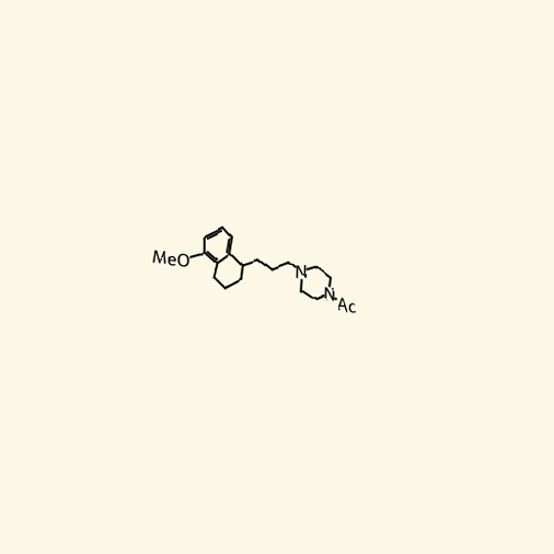 COc1cccc2c1CCCC2CCCN1CCN(C(C)=O)CC1